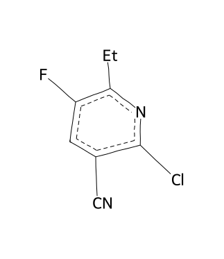 CCc1nc(Cl)c(C#N)cc1F